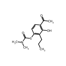 CCCc1c(SC(=O)N(C)C)ccc(C(C)=O)c1O